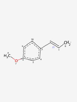 [CH2]/C=C/c1ccc(OC)cc1